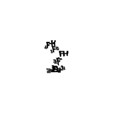 F.F.[Ba+2].[F-].[F-]